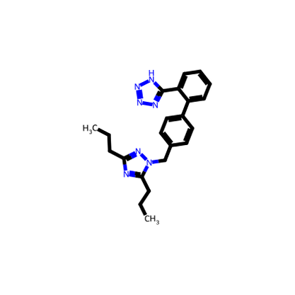 CCCc1nc(CCC)n(Cc2ccc(-c3ccccc3-c3nnn[nH]3)cc2)n1